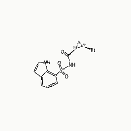 CC[C@@H]1C[C@@H]1C(=O)NS(=O)(=O)c1cccc2cc[nH]c12